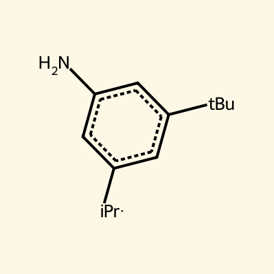 C[C](C)c1cc(N)cc(C(C)(C)C)c1